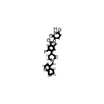 O=C1CCC(N2Cc3cc(C4CCN(Cc5ccnc6ccccc56)CC4)c(F)cc3C2=O)C(=O)N1